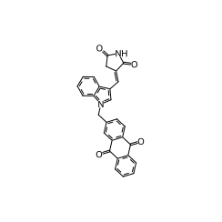 O=C1C/C(=C\c2cn(Cc3ccc4c(c3)C(=O)c3ccccc3C4=O)c3ccccc23)C(=O)N1